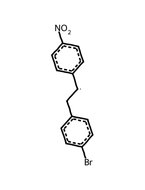 O=[N+]([O-])c1ccc([CH]Cc2ccc(Br)cc2)cc1